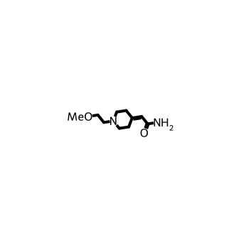 COCCN1CCC(=CC(N)=O)CC1